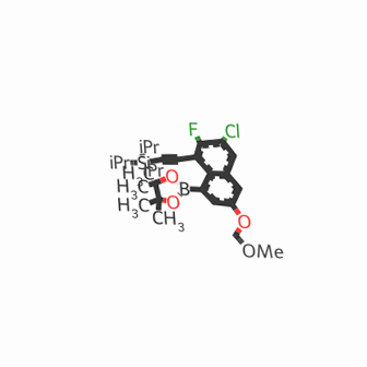 COCOc1cc(B2OC(C)(C)C(C)(C)O2)c2c(C#C[Si](C(C)C)(C(C)C)C(C)C)c(F)c(Cl)cc2c1